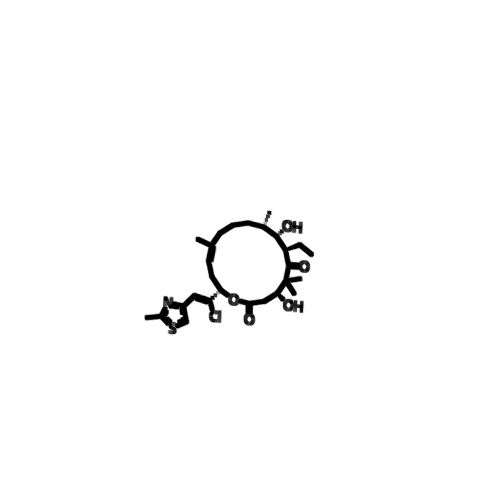 CC[C@H]1C(=O)C(C)(C)[C@@H](O)CC(=O)O[C@H](C(Cl)=Cc2csc(C)n2)C/C=C(/C)CCC[C@H](C)[C@@H]1O